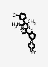 Cc1nc2c(-c3cc(N4CCN(C(C)C)CC4)ccc3F)cnn2c(N)c1-c1cccc(Cl)c1